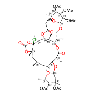 CO[C@H]1[C@@H](OC)[C@H](OC[C@H](C)[C@H]2OC(=O)[C@H](C)[C@@H](O[C@H]3C[C@@](C)(OC(C)=O)[C@@H](OC(C)=O)[C@H](C)O3)[C@H](C)C[C@@H](C)C[C@]3(C)OC(=O)OC3(Cl)[C@H](C)[C@H](OC(=O)CC(C)C)[C@H]2C)O[C@H](C)[C@H]1OC(C)=O